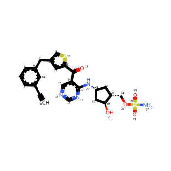 C#Cc1cccc(Cc2csc(C(=O)c3cncnc3N[C@@H]3C[C@H](COS(N)(=O)=O)[C@@H](O)C3)c2)c1